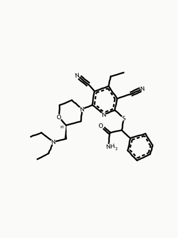 CCc1c(C#N)c(SC(C(N)=O)c2ccccc2)nc(N2CCO[C@H](CN(CC)CC)C2)c1C#N